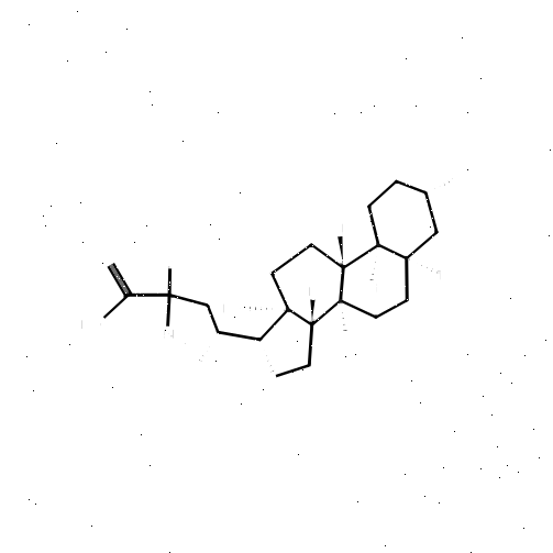 BC(B)(C[C@@H](C)[C@H]1CC[C@H]2[C@@H]3CC[C@@H]4C[C@@H](O)CC[C@]4(C)[C@H]3CC[C@]12C)C(=O)O